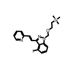 C[Si](C)(C)CCOCn1nc(/C=C/c2ccccn2)c2c(I)cccc21